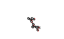 c1ccc(-n2c3ccc(-c4ccc5c(c4)c4ccccc4n5-c4cc5c6c(nccc6c4)-c4ccccc4-5)cc3c3c4ccccc4ccc32)cc1